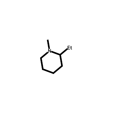 [CH2]CC1CCCCN1C